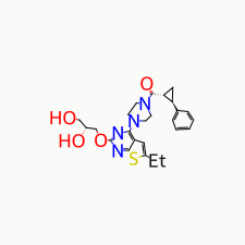 CCc1cc2c(N3CCN(C(=O)[C@@H]4C[C@H]4c4ccccc4)CC3)nc(OC[C@H](O)CO)nc2s1